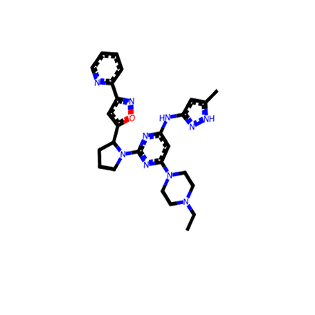 CCN1CCN(c2cc(Nc3cc(C)[nH]n3)nc(N3CCCC3c3cc(-c4ccccn4)no3)n2)CC1